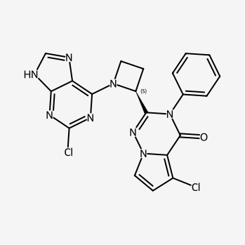 O=c1c2c(Cl)ccn2nc([C@@H]2CCN2c2nc(Cl)nc3[nH]cnc23)n1-c1ccccc1